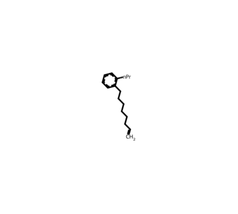 C=CCCCCCCc1ccccc1CCC